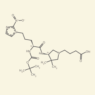 CC(C)(C)OC(=O)N[C@@H](CCCn1ccnc1[N+](=O)[O-])C(=O)N[C@H]1CN(CCCC(=O)O)CC1(C)C